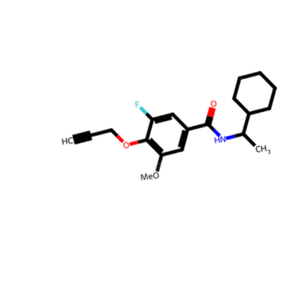 C#CCOc1c(F)cc(C(=O)NC(C)C2CCCCC2)cc1OC